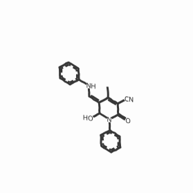 CC1=C(C#N)C(=O)N(c2ccccc2)C(O)C1=CNc1ccccc1